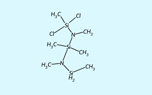 C[SiH2]N(C)[Si](C)(C)N(C)[Si](C)(Cl)Cl